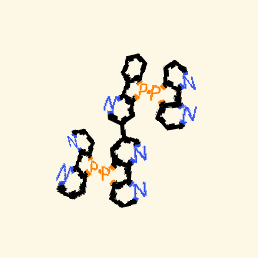 c1ccc2c(c1)c1ncc(-c3cnc4c5ncccc5p(-p5c6cccnc6c6ncccc65)c4c3)cc1p2-p1c2cccnc2c2ncccc21